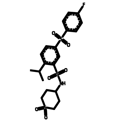 CC(C)c1ccc(S(=O)(=O)c2ccc(F)cc2)cc1S(=O)(=O)NC1CCS(=O)(=O)CC1